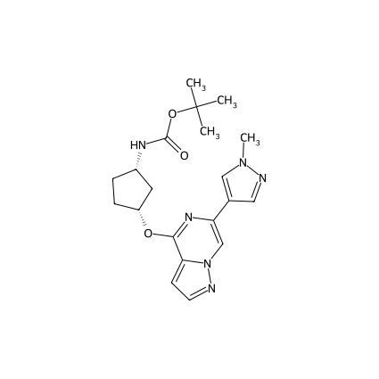 Cn1cc(-c2cn3nccc3c(O[C@@H]3CC[C@H](NC(=O)OC(C)(C)C)C3)n2)cn1